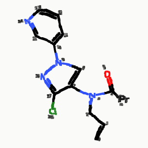 C=CCN(C(=O)C(C)C)c1cn(-c2cccnc2)nc1Cl